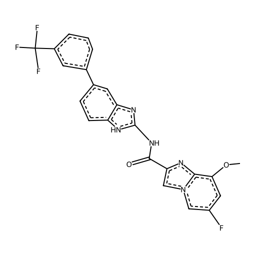 COc1cc(F)cn2cc(C(=O)Nc3nc4cc(-c5cccc(C(F)(F)F)c5)ccc4[nH]3)nc12